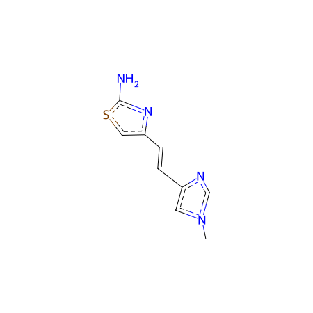 Cn1cnc(C=Cc2csc(N)n2)c1